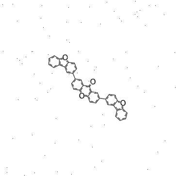 O=c1c2cc(-c3ccc4oc5ccccc5c4c3)ccc2oc2ccc(-c3ccc4oc5ccccc5c4c3)cc12